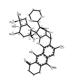 COc1c2c(c(O)c3c4c(c(C)cc13)C1OC3(C5OCCCO5)OC1[C@@](O[C@H]1CC(OC(C)=O)[C@]5(O)C(C[C@@]5(C)O)O1)(O4)[C@@]31CO1)C(=O)CCC2